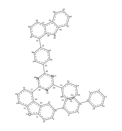 c1ccc(-c2ccc(-c3ccc4oc5cccc(-c6nc(-c7ccccc7)nc(-c7ccc(-c8cccc9c8sc8ccccc89)cc7)n6)c5c4c3)cc2)cc1